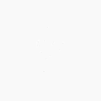 CC1COCc2cc3c(cc21)C(C)(C)C(C1C(C)(C)C2=C(C(=O)CCC2)C1(C)C)C3(C)C